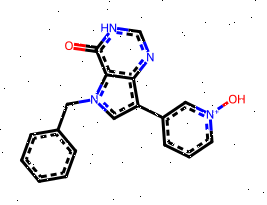 O=c1[nH]cnc2c(-c3ccc[n+](O)c3)cn(Cc3ccccc3)c12